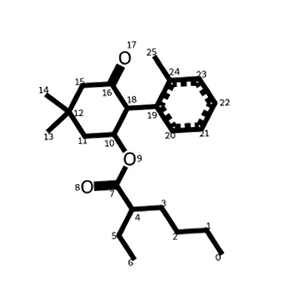 CCCCC(CC)C(=O)OC1CC(C)(C)CC(=O)C1c1ccccc1C